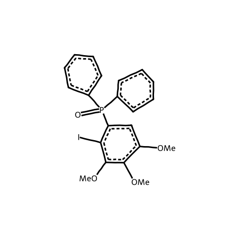 COc1cc(P(=O)(c2ccccc2)c2ccccc2)c(I)c(OC)c1OC